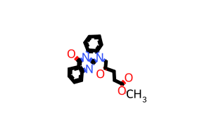 COC(=O)CCC(=O)Cn1c2ccccc2n2c(=O)c3ccccc3nc12